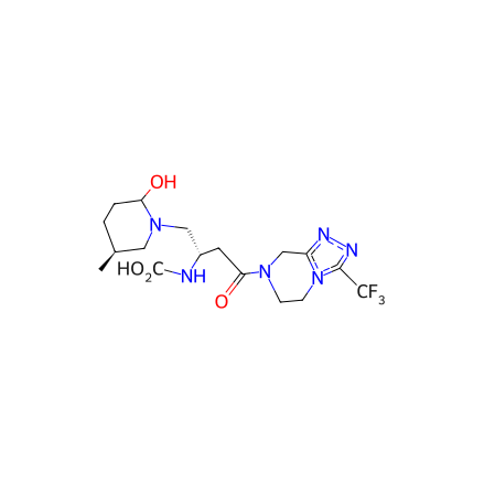 C[C@H]1CCC(O)N(C[C@H](CC(=O)N2CCn3c(nnc3C(F)(F)F)C2)NC(=O)O)C1